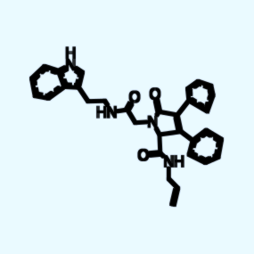 C=CCNC(=O)C1C(c2ccccc2)=C(c2ccccc2)C(=O)N1CC(=O)NCCc1c[nH]c2ccccc12